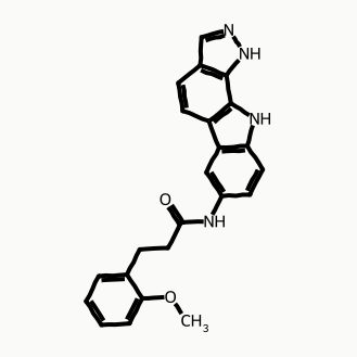 COc1ccccc1CCC(=O)Nc1ccc2[nH]c3c(ccc4cn[nH]c43)c2c1